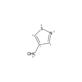 O=Cc1cnsc1